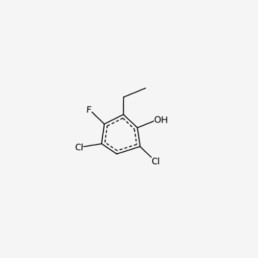 CCc1c(O)c(Cl)cc(Cl)c1F